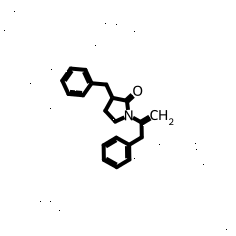 C=C(Cc1ccccc1)N1CCC(Cc2ccccc2)C1=O